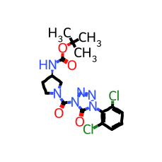 CC(C)(C)OC(=O)N[C@@H]1CCN(C(=O)n2nnn(-c3c(Cl)cccc3Cl)c2=O)C1